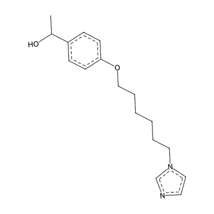 CC(O)c1ccc(OCCCCCCn2ccnc2)cc1